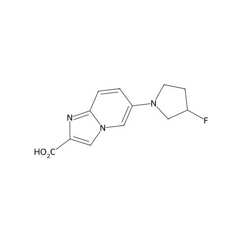 O=C(O)c1cn2cc(N3CCC(F)C3)ccc2n1